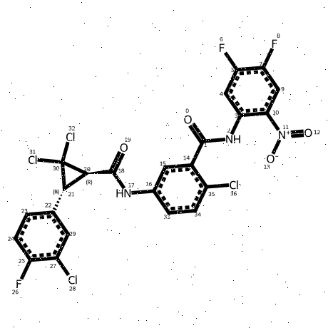 O=C(Nc1cc(F)c(F)cc1[N+](=O)[O-])c1cc(NC(=O)[C@H]2[C@H](c3ccc(F)c(Cl)c3)C2(Cl)Cl)ccc1Cl